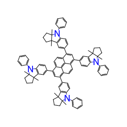 CC12CCCC1(C)N(c1ccccc1)c1ccc(-c3cc(-c4ccc5c(c4)C4(C)CCCC4(C)N5c4ccccc4)c4ccc5c(-c6ccc7c(c6)C6(C)CCCC6(C)N7c6ccccc6)cc(-c6ccc7c(c6)C6(C)CCCC6(C)N7c6ccccc6)c6ccc3c4c65)cc12